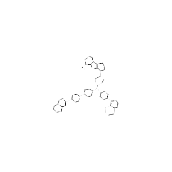 CC(C)(C)c1cccc2c1oc1c(C3=CCC(N(c4ccc(-c5ccc(-c6ccc7ccccc7c6)cc5)cc4)c4ccc(-c5cccc6c5CCC=C6)cc4)C=C3)cccc12